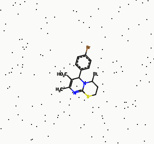 CCC1CCSC2=NC(C)=C(C(=O)O)C(c3ccc(Br)cc3)N21